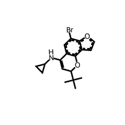 CC(C)(C)C1C=C(NC2CC2)c2cc(Br)c3occc3c2O1